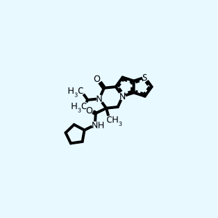 CC(C)N1C(=O)c2cc3sccc3n2CC1(C)C(=O)NC1CCCC1